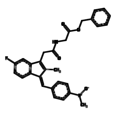 CC1=C(CC(=O)NCC(=O)OCc2ccccc2)c2cc(F)ccc2C1=Cc1ccc([S+](C)[O-])cc1